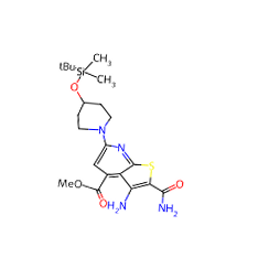 COC(=O)c1cc(N2CCC(O[Si](C)(C)C(C)(C)C)CC2)nc2sc(C(N)=O)c(N)c12